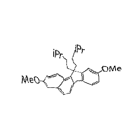 COc1ccc2c(c1)C(CCC(C)C)(CCC(C)C)c1c-2ccc2cc(OC)ccc12